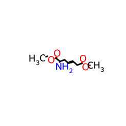 CCOC(=O)C(N)CC=CCC(=O)OC